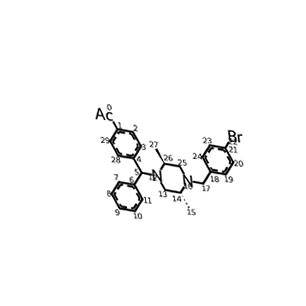 CC(=O)c1ccc(C(c2ccccc2)N2C[C@@H](C)N(Cc3ccc(Br)cc3)C[C@@H]2C)cc1